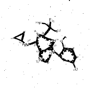 COc1ccc(Cl)cc1-n1cnc2c(NC3CC3)nc(C(F)(F)F)nc21